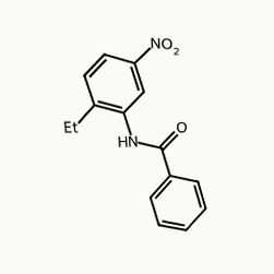 CCc1ccc([N+](=O)[O-])cc1NC(=O)c1ccccc1